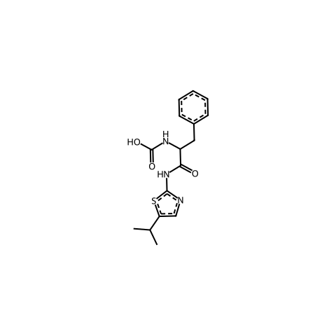 CC(C)c1cnc(NC(=O)C(Cc2ccccc2)NC(=O)O)s1